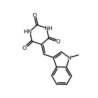 Cn1cc(C=C2C(=O)NC(=O)NC2=O)c2ccccc21